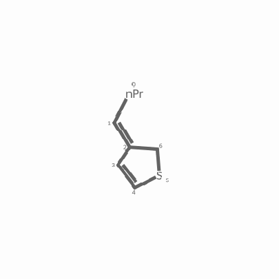 CCCC=C1C=CSC1